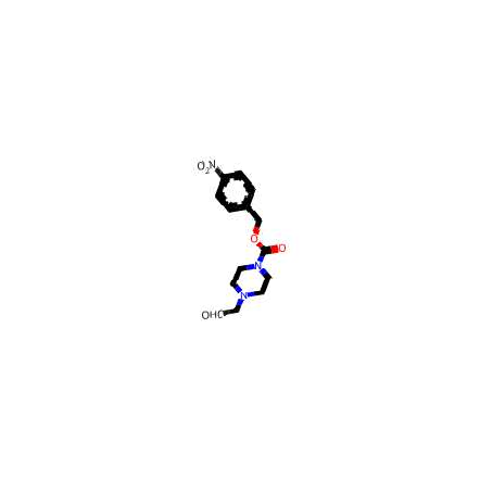 O=CCN1CCN(C(=O)OCc2ccc([N+](=O)[O-])cc2)CC1